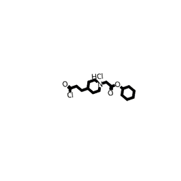 Cl.O=C(Cl)CCC1CCN(CC(=O)OC2CCCCC2)CC1